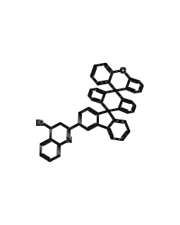 CCC1CC(c2ccc3c(c2)-c2ccccc2C32c3ccccc3C3(c4ccccc4Oc4ccccc43)c3ccccc32)=Nc2ccccc21